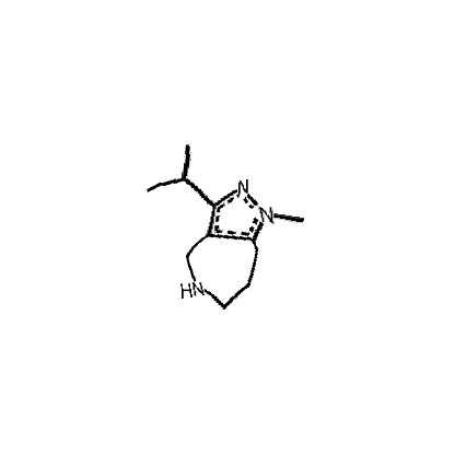 CC(C)c1nn(C)c2c1CNCC2